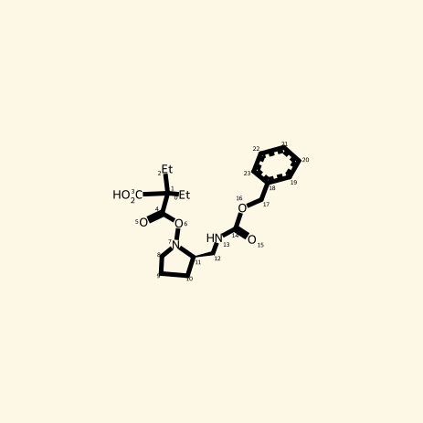 CCC(CC)(C(=O)O)C(=O)ON1CCC[C@@H]1CNC(=O)OCc1ccccc1